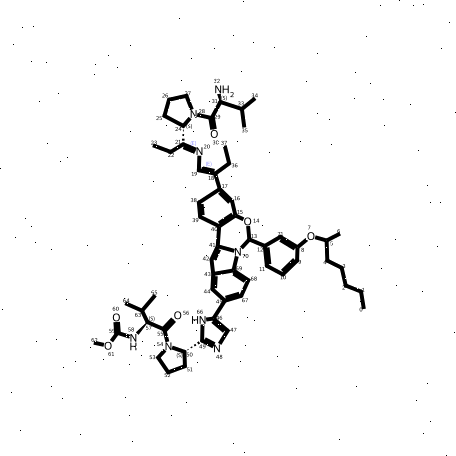 CCCCCC(C)Oc1cccc(C2Oc3cc(/C(=C/N=C(\CC)[C@@H]4CCCN4C(=O)[C@@H](N)C(C)C)CC)ccc3-c3cc4cc(-c5cnc([C@@H]6CCCN6C(=O)[C@@H](NC(=O)OC)C(C)C)[nH]5)ccc4n32)c1